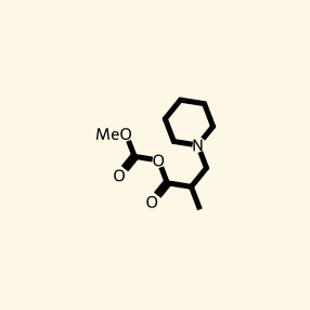 COC(=O)OC(=O)C(C)CN1CCCCC1